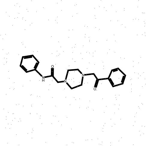 O=C(CN1CCN(CC(=O)c2ccccc2)CC1)Nc1ccccc1